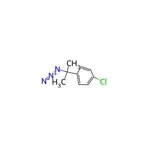 CC(C)(N=[N+]=[N-])c1ccc(Cl)cc1